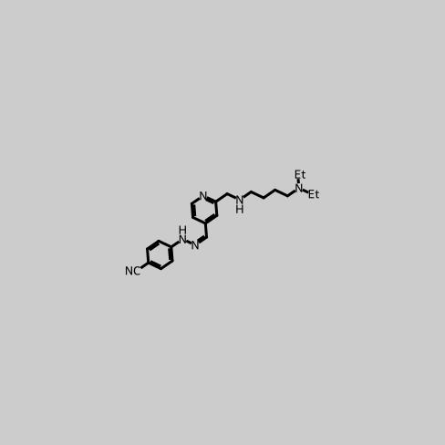 CCN(CC)CCCCNCc1cc(/C=N\Nc2ccc(C#N)cc2)ccn1